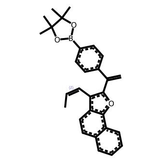 C=C(c1ccc(B2OC(C)(C)C(C)(C)O2)cc1)c1oc2c(ccc3ccccc32)c1/C=C\C